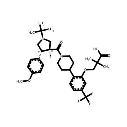 COc1ccc([C@@H]2CN(C(C)(C)C)C[C@@]2(F)C(=O)N2CCC(c3ccc(C(F)(F)F)cc3OCC(C)(C)C(=O)O)CC2)cc1